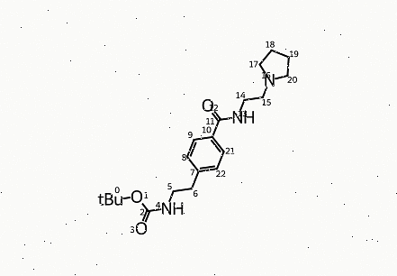 CC(C)(C)OC(=O)NCCc1ccc(C(=O)NCCN2CCCC2)cc1